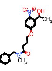 CC(O)c1cc(OCCCC(=O)N(C)Cc2ccccc2)ccc1[N+](=O)[O-]